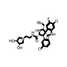 CC(C)(C)C[C@H]1N[C@@H](C(=O)NCCN2C[C@H](O)[C@@H](O)C2)[C@H](c2cccc(Cl)c2)[C@@]12C(=O)Nc1cc(Cl)c(F)cc12